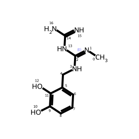 C/N=C(\NCc1cccc(O)c1O)NC(=N)N